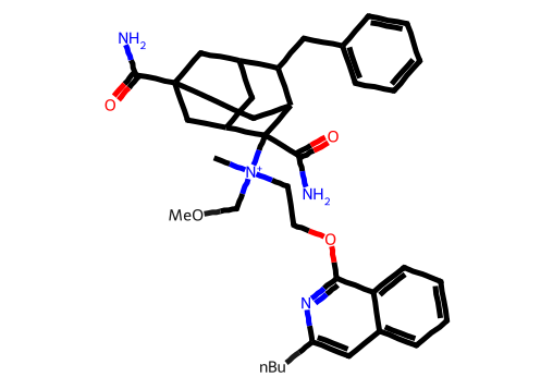 CCCCc1cc2ccccc2c(OCC[N+](C)(COC)C2(C(N)=O)C3CC4CC(C(N)=O)(C3)CC2C4Cc2ccccc2)n1